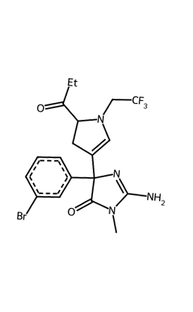 CCC(=O)C1CC(C2(c3cccc(Br)c3)N=C(N)N(C)C2=O)=CN1CC(F)(F)F